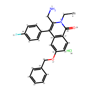 CC(C)Cn1c(CN)c(-c2ccc(F)cc2)c2cc(OCc3ccccc3)ccc2c1=O.Cl